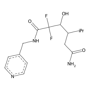 CC(C)C(CC(N)=O)C(O)C(F)(F)C(=O)NCc1ccncc1